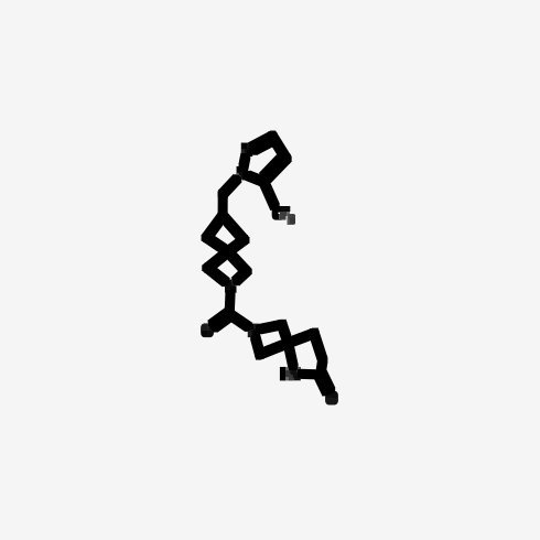 O=C1CCC2(CN(C(=O)N3CC4(CC(Cn5nccc5C(F)(F)F)C4)C3)C2)N1